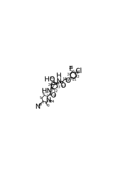 CC1C(C#N)CCC(C(=O)NC23CCC(NC(=O)COc4ccc(Cl)c(F)c4)(CC2)C(O)C3)N1C